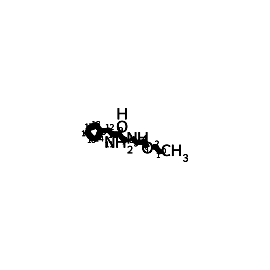 CCCOCCNC[C@@H](O)[C@@H](N)Cc1ccccc1